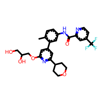 Cc1ccc(NC(=O)c2cc(C(F)(F)F)ccn2)cc1-c1cc(OCC(O)CO)nc(C2CCOCC2)c1